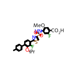 COc1cc(C(=O)O)c(F)cc1NS(=O)(=O)c1csc(-c2ccc(-c3ccc(C)cc3)c(OC(C)C)c2F)n1